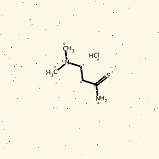 CN(C)CCC(N)=S.Cl